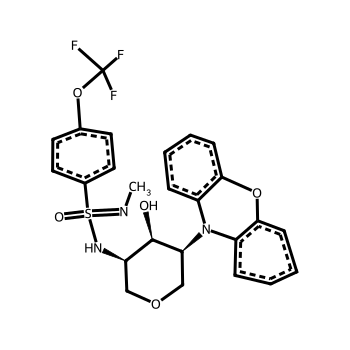 CN=S(=O)(N[C@@H]1COC[C@H](N2c3ccccc3Oc3ccccc32)[C@@H]1O)c1ccc(OC(F)(F)F)cc1